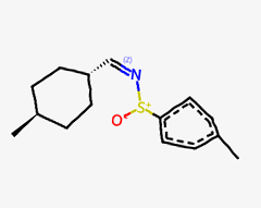 Cc1ccc([S+]([O-])/N=C\[C@H]2CC[C@H](C)CC2)cc1